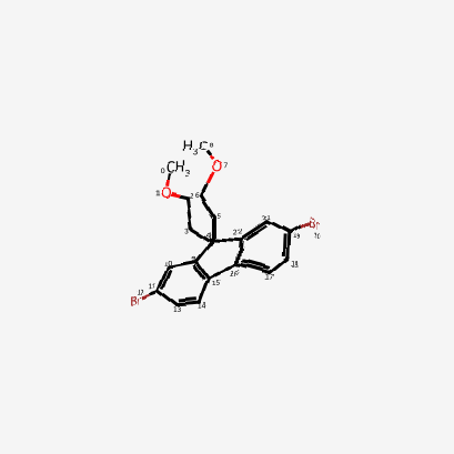 COCCC1(CCOC)c2cc(Br)ccc2-c2ccc(Br)cc21